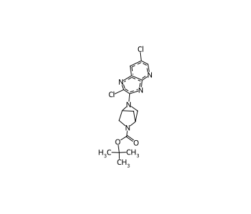 CC(C)(C)OC(=O)N1CC2CC1CN2c1nc2ncc(Cl)cc2nc1Cl